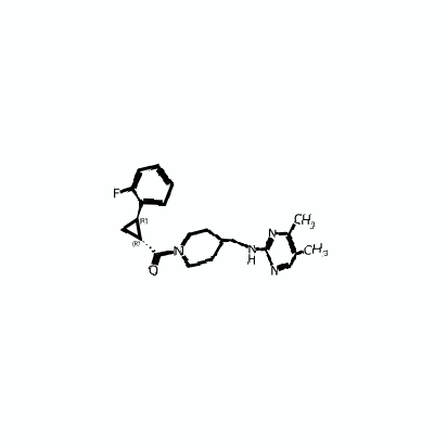 Cc1cnc(NCC2CCN(C(=O)[C@@H]3C[C@H]3c3ccccc3F)CC2)nc1C